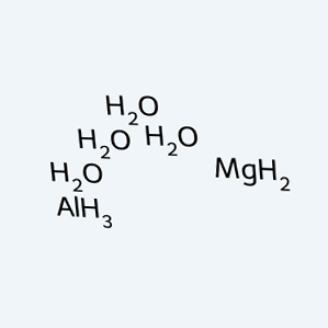 O.O.O.O.[AlH3].[MgH2]